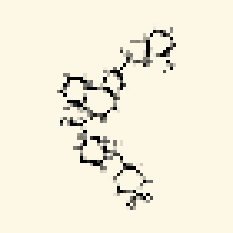 Cc1cccc(F)c1NC(=O)c1cc2c(s1)-c1ccccc1N(C(=O)c1cccc(NC3CCS(=O)(=O)CC3)n1)CC2